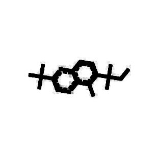 CCC(C)(C)c1ccc2nc(C(C)(C)C)cnc2c1C